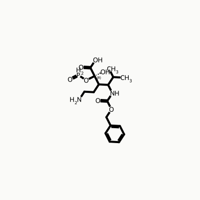 CC(C)C(NC(=O)OCc1ccccc1)C(CCN)[C@@](O)(O[PH2]=O)C(=O)O